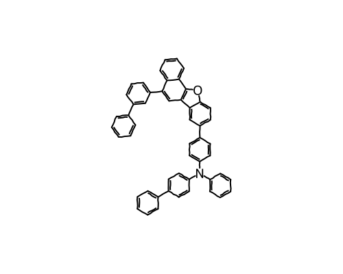 c1ccc(-c2ccc(N(c3ccccc3)c3ccc(-c4ccc5oc6c7ccccc7c(-c7cccc(-c8ccccc8)c7)cc6c5c4)cc3)cc2)cc1